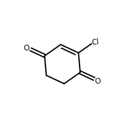 O=C1C=C(Cl)C(=O)CC1